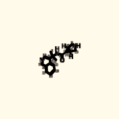 CC(C)(NC(=O)[C@H]1[C@@H]2CNC[C@@H]21)c1cncc2ccccc12